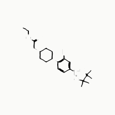 CCOC(=O)C[C@H]1CC[C@@H](c2ccc(B3OC(C)(C)C(C)(C)O3)cc2F)CC1